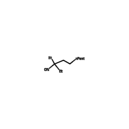 CCCCCCCC(CC)(CC)N=O